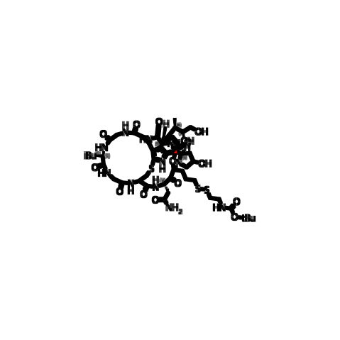 CC[C@H](C)[C@@H]1NC(=O)CNC(=O)C2Cc3c4[nH]c5cc(ccc35)OC(CCCSSCCNC(=O)OC(C)(C)C)(C(=O)[C@H](CC(N)=O)NC(=O)C(CS4)NC(=O)CNC1=O)N1CC(O)C[C@H]1C(=O)N[C@@H]([C@@H](C)[C@@H](O)CO)C(=O)N2